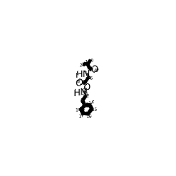 CC(C)C(=O)NCC(=O)ONCCc1ccccc1